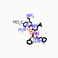 NCCCC[C@@H](NC(=O)C(CCC1CC1)NC(=O)[C@@H](Cc1ccccc1)NC(=O)[C@H](N)Cc1ccccc1)C(=O)N1CCC(C(=O)O)CC1N